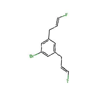 FC=CCc1cc(Br)cc(CC=CF)c1